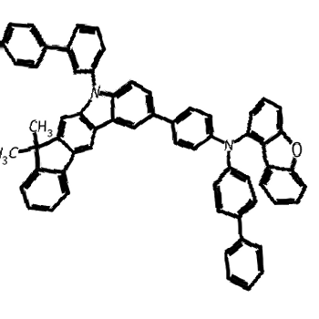 CC1(C)c2ccccc2-c2cc3c4cc(-c5ccc(N(c6ccc(-c7ccccc7)cc6)c6cccc7oc8ccccc8c67)cc5)ccc4n(-c4cccc(-c5ccccc5)c4)c3cc21